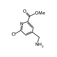 COC(=O)c1cc(CN)cc(Cl)n1